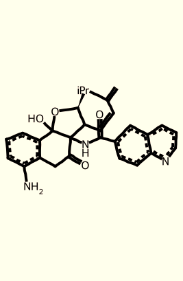 C=C(/C=C\C1[C@H](C)OC2(O)c3cccc(N)c3CC(=O)C12NC(=O)c1ccc2ncccc2c1)C(C)C